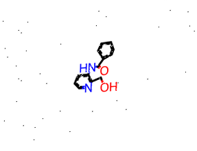 O=C(Nc1cccnc1CO)c1ccccc1